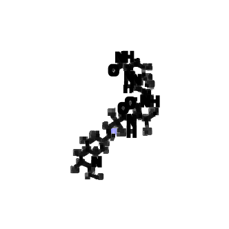 CCc1nc2cc(/C=C/C(C)(C)C(=O)N[C@H](C(=O)N[C@@H](C)CN3CCC[C@@H](C(N)=O)N3)C(C)C)ccc2cc1C